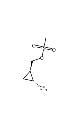 CS(=O)(=O)OC[C@@H]1C[C@H]1C(F)(F)F